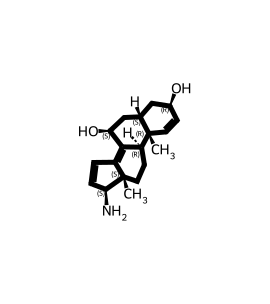 C[C@]12C=C[C@H](O)C[C@H]1C[C@H](O)C1=C3C=C[C@H](N)[C@@]3(C)CC[C@@H]12